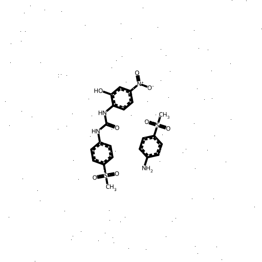 CS(=O)(=O)c1ccc(N)cc1.CS(=O)(=O)c1ccc(NC(=O)Nc2ccc([N+](=O)[O-])cc2O)cc1